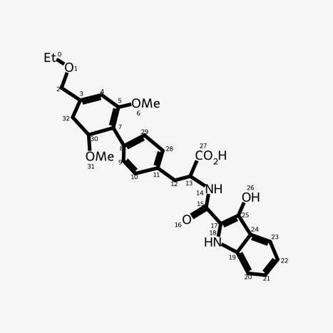 CCOCC1=CC(OC)=C(c2ccc(CC(NC(=O)c3[nH]c4ccccc4c3O)C(=O)O)cc2)C(OC)C1